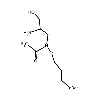 CCCCCCCCCCCCCCN(CC(N)CO)C(=O)C(F)(F)F